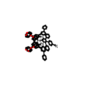 N#Cc1ccc(-c2c(-c3ccccc3)c(-n3c4ccc(-c5ccccc5)cc4c4cc(-c5ccccc5)ccc43)c(-n3c4ccc(-c5ccccc5)cc4c4cc(-c5ccccc5)ccc43)c(-n3c4ccc(-c5ccccc5)cc4c4cc(-c5ccccc5)ccc43)c2-c2ccccc2)cc1